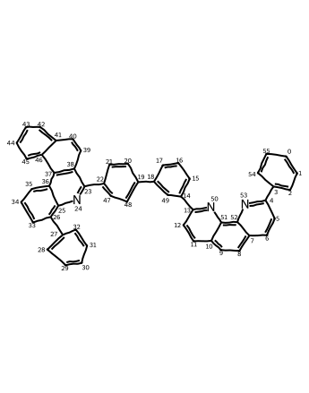 c1ccc(-c2ccc3ccc4ccc(-c5cccc(-c6ccc(-c7nc8c(-c9ccccc9)cccc8c8c7ccc7ccccc78)cc6)c5)nc4c3n2)cc1